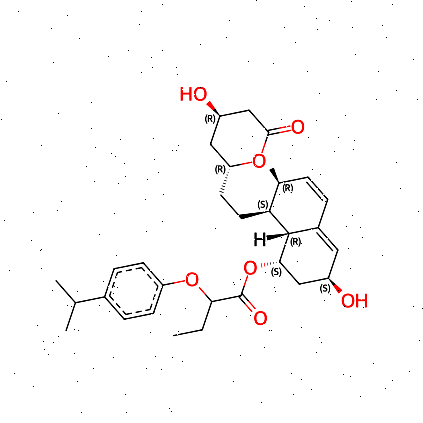 CCC(Oc1ccc(C(C)C)cc1)C(=O)O[C@H]1C[C@H](O)C=C2C=C[C@H](C)[C@H](CC[C@@H]3C[C@@H](O)CC(=O)O3)[C@H]21